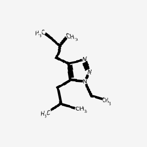 CCn1nnc(CC(C)C)c1CC(C)C